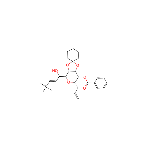 C=CC[C@@H]1O[C@@H](C(O)/C=C/[Si](C)(C)C)C2OC3(CCCCC3)OC2C1OC(=O)c1ccccc1